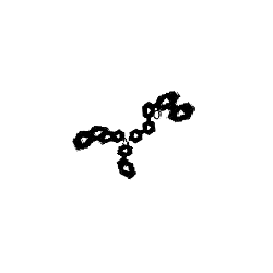 c1ccc(-c2ccc(N(c3ccc(-c4cccc(-c5cccc6c5oc5c(-c7ccccc7)cccc56)c4)cc3)c3ccc4c(c3)Cc3c-4ccc4ccccc34)cc2)cc1